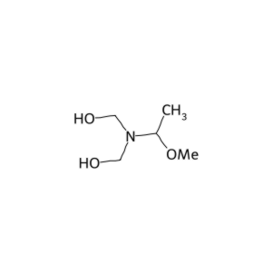 COC(C)N(CO)CO